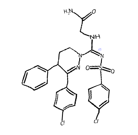 NC(=O)CN/C(=N/S(=O)(=O)c1ccc(Cl)cc1)N1CCC(c2ccccc2)C(c2ccc(Cl)cc2)=N1